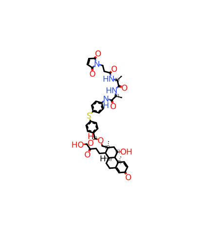 C[C@H](NC(=O)CCN1C(=O)C=CC1=O)C(=O)N[C@@H](C)C(=O)Nc1ccc(Sc2ccc([C@@H](O)OC[C@@]3(C)C[C@H](O)C4[C@@H](CCC5=CC(=O)C=C[C@@]54C)C3CCC(=O)CO)cc2)cc1